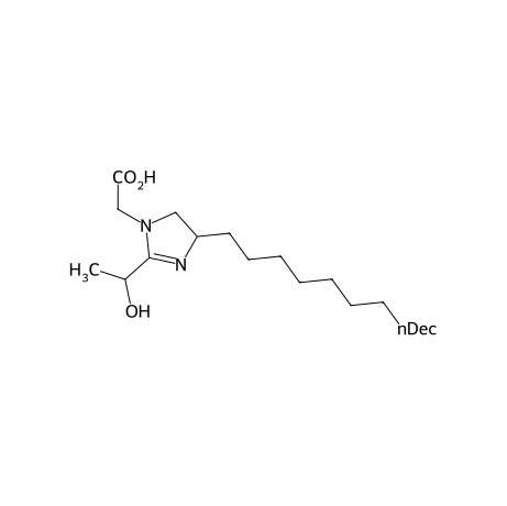 CCCCCCCCCCCCCCCCCC1CN(CC(=O)O)C(C(C)O)=N1